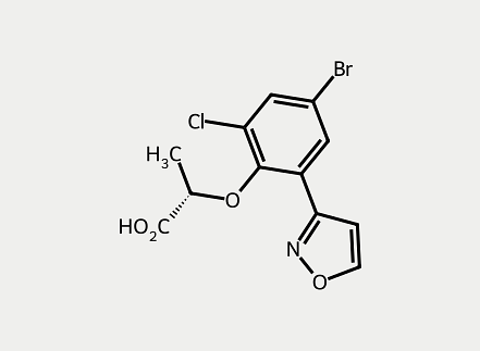 C[C@H](Oc1c(Cl)cc(Br)cc1-c1ccon1)C(=O)O